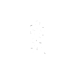 N#Cc1c(-c2ccccc2-c2ccccc2-n2c3ccccc3c3cccc(C#N)c32)cccc1-n1c2c(c3ccccc31)CC(C#N)C=C2